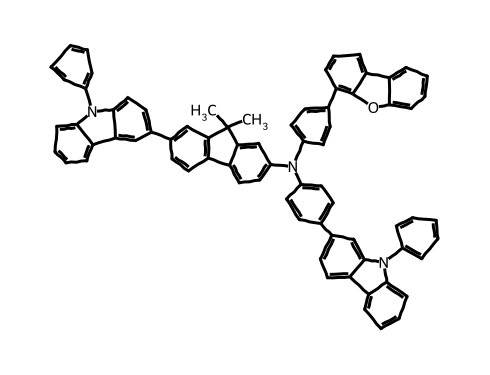 CC1(C)c2cc(-c3ccc4c(c3)c3ccccc3n4-c3ccccc3)ccc2-c2ccc(N(c3ccc(-c4ccc5c6ccccc6n(-c6ccccc6)c5c4)cc3)c3ccc(-c4cccc5c4oc4ccccc45)cc3)cc21